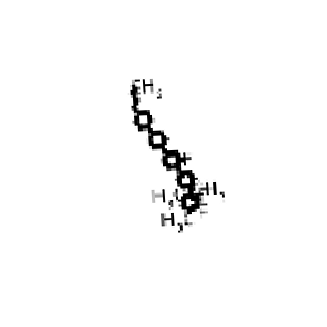 C=CCCC1CCC(C2CC=C(c3ccc(C4=CC(C)C(C)(c5ccc(C)c(F)c5F)C=C4)c(F)c3)CC2)CC1